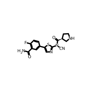 N#CN(C(=O)[C@H]1CCNC1)c1ncc(-c2ccc(F)c(C(N)=O)c2)s1